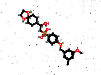 COc1cc(C)cc(COc2ccc(S(=O)(=O)CC(O)C3CCC4(CC3)OCCO4)cc2)c1